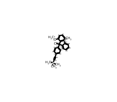 COc1ccccc1C(Cl)(c1ccc(C#C[Si](C)(C)C)cc1)c1ccccc1OC